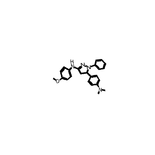 COc1ccc(NC2=NN(c3ccccc3)C(c3ccc(N(C)C)cc3)C2)cc1